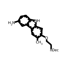 CCCCCCCCCCCCOc1cc2[nH]c3ccc(N)cc3c2cc1C